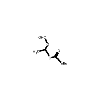 CCCCC(=O)OC(C)O[C]=O